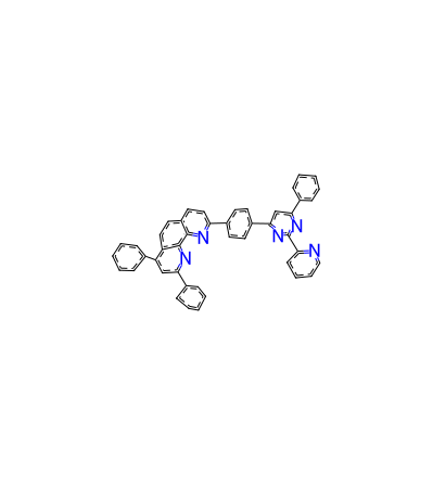 c1ccc(-c2cc(-c3ccc(-c4ccc5ccc6c(-c7ccccc7)cc(-c7ccccc7)nc6c5n4)cc3)nc(-c3ccccn3)n2)cc1